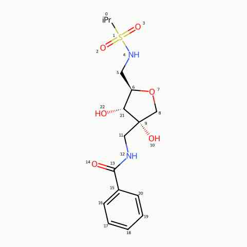 CC(C)S(=O)(=O)NC[C@H]1OC[C@@](O)(CNC(=O)c2ccccc2)[C@@H]1O